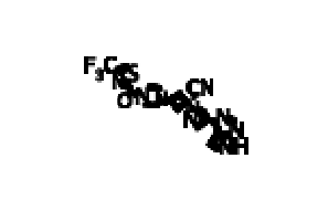 N#CC[C@]1(n2cc(-c3ncnc4[nH]ccc34)cn2)C[C@H](N2CCN(C(=O)c3nc(C(F)(F)F)cs3)CC2)C1